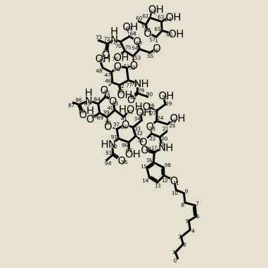 CCCCCC/C=C\CCCOc1cccc(C(=O)NC(C)[C@@H](OC(CO)[C@@H](O)CO)O[C@@H]2C(CO)O[C@@H](O[C@@H]3C(CO)O[C@@H](O[C@@H]4C(CO)O[C@@H](O[C@@H]5C(CO[C@@H]6OC(C)[C@@H](O)C(O)C6O)O[C@@H](O)C(NC(C)=O)C5O)C(NC(C)=O)C4O)C(NC(C)=O)C3O)C(NC(C)=O)C2O)c1